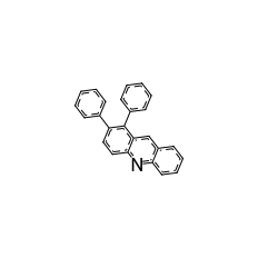 c1ccc(-c2ccc3nc4ccccc4cc3c2-c2ccccc2)cc1